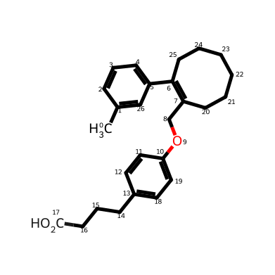 Cc1cccc(C2=C(COc3ccc(CCCC(=O)O)cc3)CCCCCC2)c1